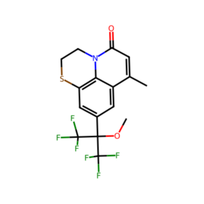 COC(c1cc2c3c(c1)c(C)cc(=O)n3CCS2)(C(F)(F)F)C(F)(F)F